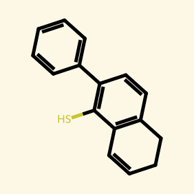 Sc1c(-c2ccccc2)ccc2c1C=CCC2